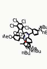 CCCCN(CCCC)c1ccc(/C(=C/C2(/C=C(\c3ccc(OC)cc3)c3ccc(N(CCCC)CCCC)cc3C)OC(=O)c3c(Cl)c(Cl)c(Cl)c(Cl)c32)c2ccc(OC)cc2)c(C)c1